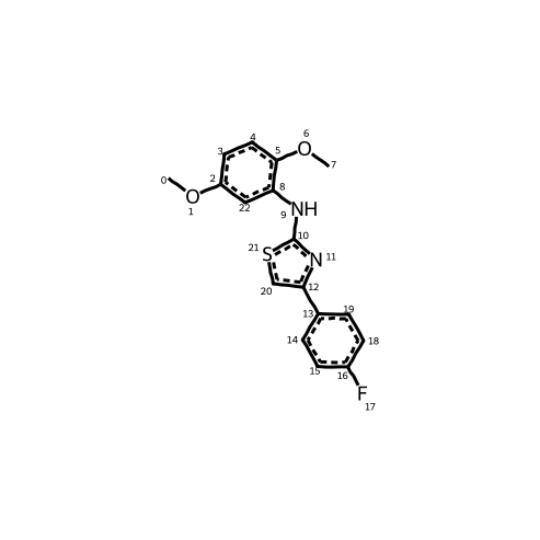 COc1ccc(OC)c(Nc2nc(-c3ccc(F)cc3)cs2)c1